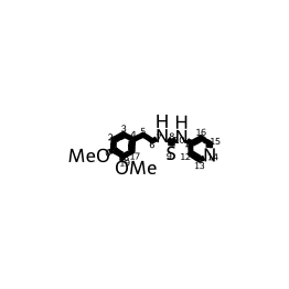 COc1ccc(CCNC(=S)Nc2ccncc2)cc1OC